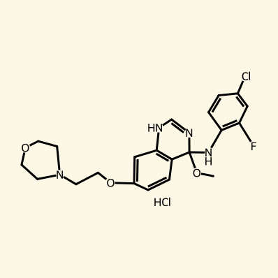 COC1(Nc2ccc(Cl)cc2F)N=CNc2cc(OCCN3CCOCC3)ccc21.Cl